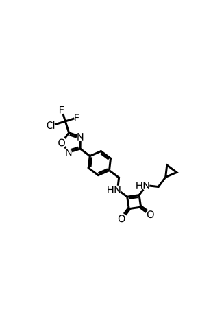 O=c1c(NCc2ccc(-c3noc(C(F)(F)Cl)n3)cc2)c(NCC2CC2)c1=O